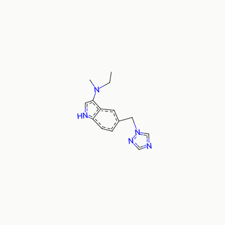 CCN(C)c1c[nH]c2ccc(Cn3cncn3)cc12